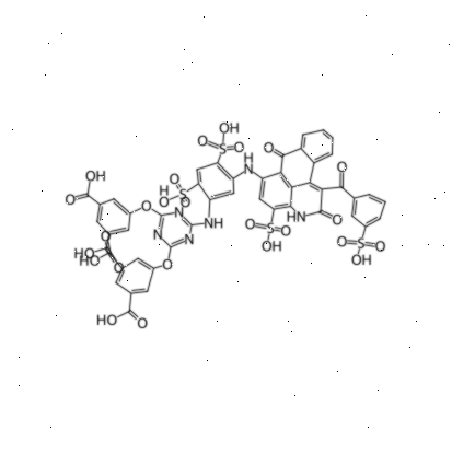 O=C(O)c1cc(Oc2nc(Nc3cc(Nc4cc(S(=O)(=O)O)c5[nH]c(=O)c(C(=O)c6cccc(S(=O)(=O)O)c6)c6c5c4C(=O)c4ccccc4-6)c(S(=O)(=O)O)cc3S(=O)(=O)O)nc(Oc3cc(C(=O)O)cc(C(=O)O)c3)n2)cc(C(=O)O)c1